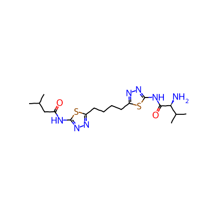 CC(C)CC(=O)Nc1nnc(CCCCc2nnc(NC(=O)[C@@H](N)C(C)C)s2)s1